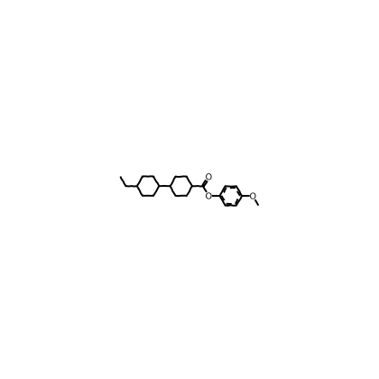 CCC1CCC(C2CCC(C(=O)Oc3ccc(OC)cc3)CC2)CC1